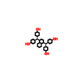 Oc1ccc(C(c2ccc(O)cc2)c2ccc(C(c3ccc(O)cc3)c3ccc(O)cc3)c3ccccc23)cc1